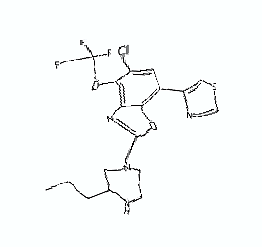 CCCC1CN(c2nc3c(OC(F)(F)F)c(Cl)cc(-c4cscn4)c3o2)CCN1